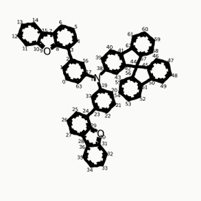 c1cc(-c2cccc3c2oc2ccccc23)cc(N(c2cccc(-c3cccc4c3oc3ccccc34)c2)c2ccc3c(c2)C2(c4ccccc4-c4ccccc42)c2ccccc2-3)c1